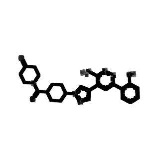 Nc1nnc(-c2ccccc2O)cc1-c1cnn(C2CCC(C(=O)N3CCC(=O)CC3)CC2)c1